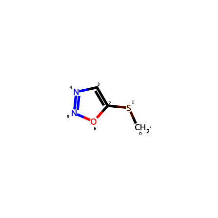 [CH2]Sc1cnno1